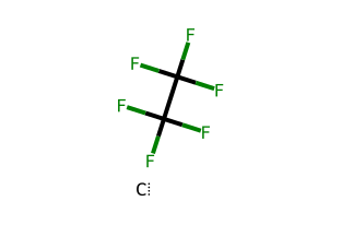 FC(F)(F)C(F)(F)F.[C]